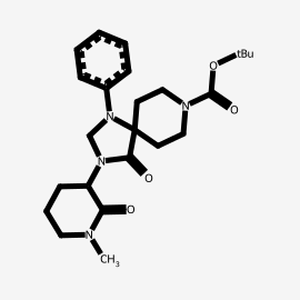 CN1CCCC(N2CN(c3ccccc3)C3(CCN(C(=O)OC(C)(C)C)CC3)C2=O)C1=O